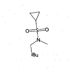 CCC(C)CN(C)S(=O)(=O)C1CC1